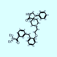 CCN(CC)C(=O)c1cccc(Cc2ccccc2OCCN2CCC3(CC2)C(=O)NCN3c2ccccc2)c1